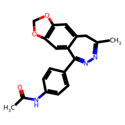 CC(=O)Nc1ccc(C2=NN=C(C)Cc3cc4c(cc32)OCO4)cc1